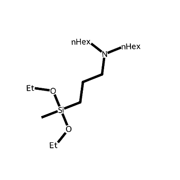 CCCCCCN(CCCCCC)CCC[Si](C)(OCC)OCC